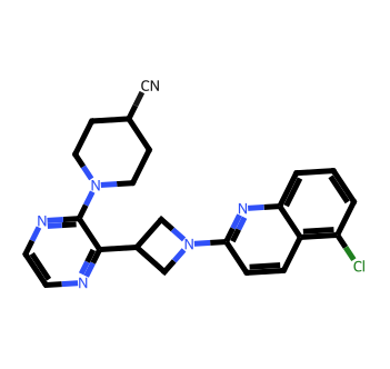 N#CC1CCN(c2nccnc2C2CN(c3ccc4c(Cl)cccc4n3)C2)CC1